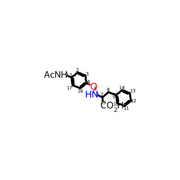 CC(=O)Nc1ccc(ONC(Cc2ccccc2)C(=O)O)cc1